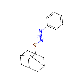 c1ccc(/N=N/SC23CC4CC(CC(C4)C2)C3)cc1